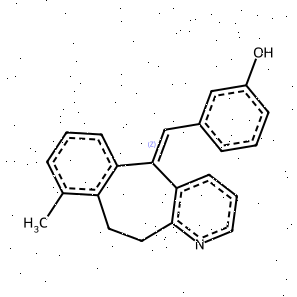 Cc1cccc2c1CCc1ncccc1/C2=C\c1cccc(O)c1